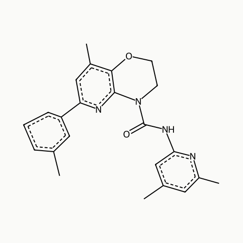 Cc1cccc(-c2cc(C)c3c(n2)N(C(=O)Nc2cc(C)cc(C)n2)CCO3)c1